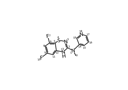 CN(C1=NSc2c(F)cc(F)cc2N1)c1cccnc1